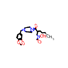 CCCCC(CN(O)C=O)C(=O)N1CCN(Cc2ccc3c(c2)OCO3)CC1